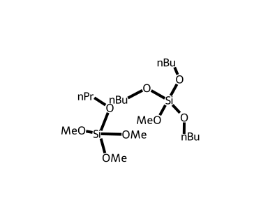 CCCCO[Si](OC)(OCCCC)OCCCC.CCCO[Si](OC)(OC)OC